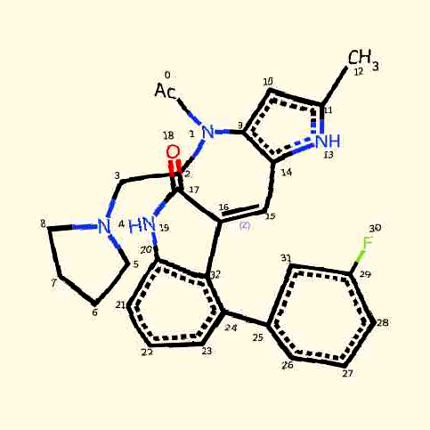 CC(=O)N(CCN1CCCC1)c1cc(C)[nH]c1/C=C1\C(=O)Nc2cccc(-c3cccc(F)c3)c21